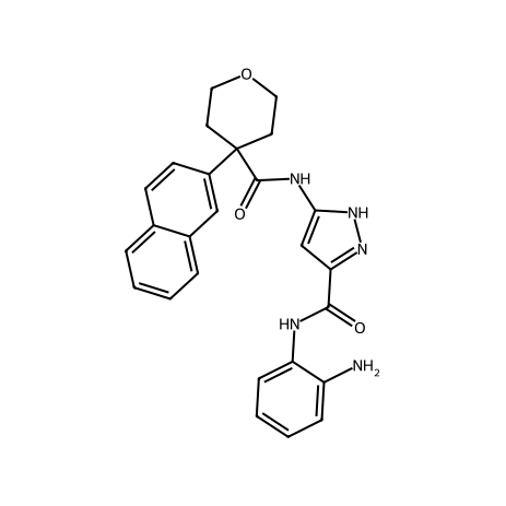 Nc1ccccc1NC(=O)c1cc(NC(=O)C2(c3ccc4ccccc4c3)CCOCC2)[nH]n1